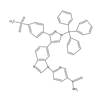 CS(=O)(=O)c1ccc(-c2nn(C(c3ccccc3)(c3ccccc3)c3ccccc3)cc2-c2ccc3ncn(-c4ccc(C(N)=O)cn4)c3c2)cc1